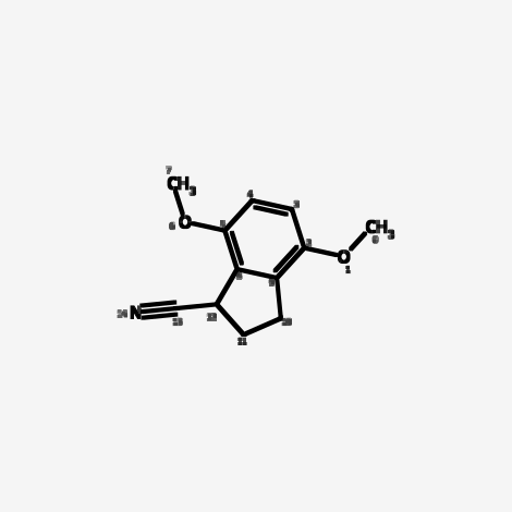 COc1ccc(OC)c2c1CCC2C#N